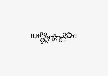 NC(=O)c1csc2ncn(Cc3nc(C[C@H](O)c4cc5cc(Cl)ccc5o4)no3)c(=O)c12